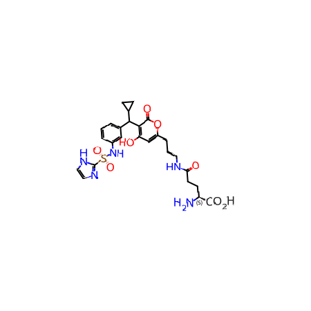 N[C@@H](CCC(=O)NCCCc1cc(O)c(C(c2cccc(NS(=O)(=O)c3ncc[nH]3)c2)C2CC2)c(=O)o1)C(=O)O